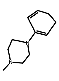 CN1CCN(C2=CC[CH]C=C2)CC1